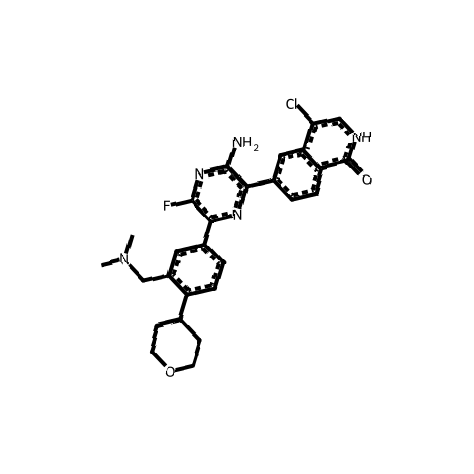 CN(C)Cc1cc(-c2nc(-c3ccc4c(=O)[nH]cc(Cl)c4c3)c(N)nc2F)ccc1C1CCOCC1